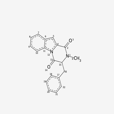 CN1C(=O)c2cc3ccccc3n2C(=O)C1Cc1ccccc1